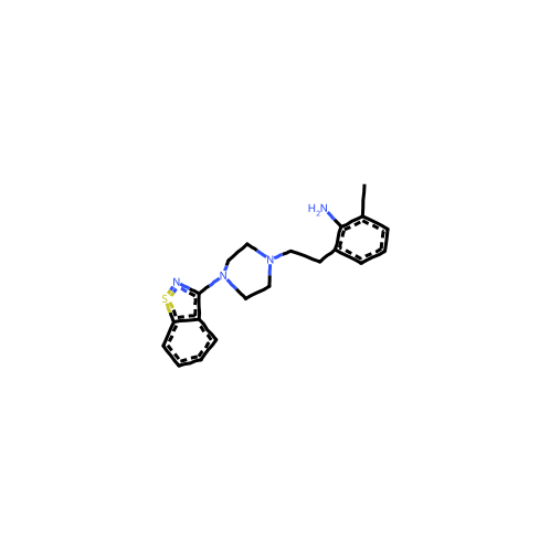 Cc1cccc(CCN2CCN(c3nsc4ccccc34)CC2)c1N